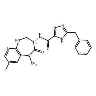 CN1C(=O)[C@@H](NC(=O)c2nnc(Cc3ccccc3)[nH]2)CNc2ncc(F)cc21